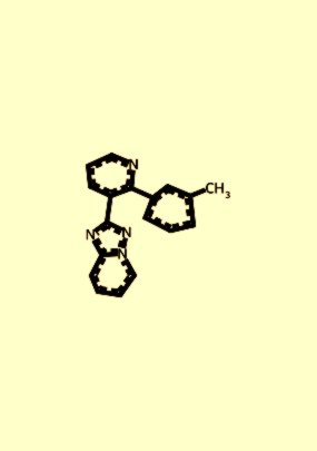 Cc1cccc(-c2ncccc2-c2nc3ccccn3n2)c1